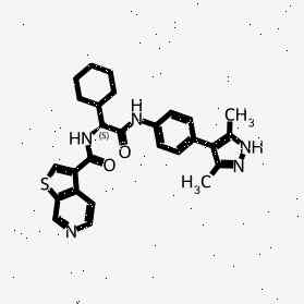 Cc1n[nH]c(C)c1-c1ccc(NC(=O)[C@@H](NC(=O)c2csc3cnccc23)C2CCCCC2)cc1